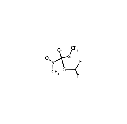 [O]C(SC(F)F)(SC(F)(F)F)[S+]([O-])C(F)(F)F